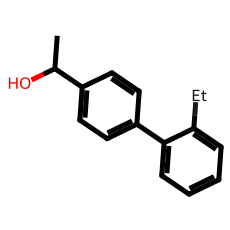 CCc1ccccc1-c1ccc(C(C)O)cc1